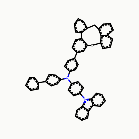 c1ccc(-c2ccc(N(c3ccc(-c4ccc5c(c4)Cc4cccc6cccc(c46)Cc4ccccc4-5)cc3)c3ccc(-n4c5ccccc5c5ccccc54)cc3)cc2)cc1